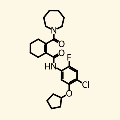 O=C(Nc1cc(OC2CCCC2)c(Cl)cc1F)C1=C(C(=O)N2CCCCCC2)CCCC1